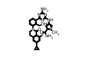 Cn1cc(Nc2nc(N)nc(-c3cccc(N4CCc5cc(C6CC6)cc(F)c5C4=O)c3CO)n2)cc1C(N)=O